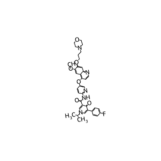 COc1cc2c(Oc3ccc(NC(=O)c4cn(C(C)C)cc(-c5ccc(F)cc5)c4=O)nc3)ccnc2cc1OCCCN1CCOCC1